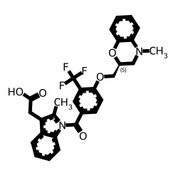 Cc1c(CC(=O)O)c2ccccc2n1C(=O)c1ccc(OC[C@@H]2CN(C)c3ccccc3O2)c(C(F)(F)F)c1